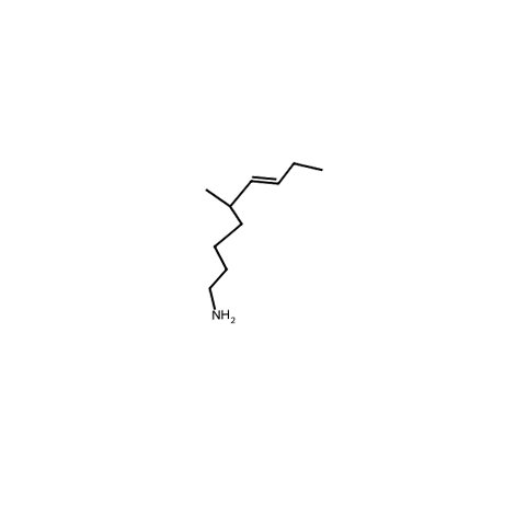 CC/C=C/C(C)CCCCN